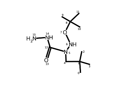 CC(C)(C)CN(NOC(C)(C)C)C(=O)NN